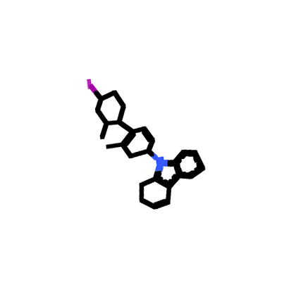 CC1=C(C2CCC(I)CC2C)C=CC(n2c3c(c4ccccc42)C=CCC3)C1